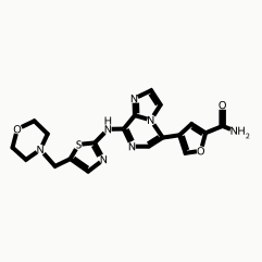 NC(=O)c1cc(-c2cnc(Nc3ncc(CN4CCOCC4)s3)c3nccn23)co1